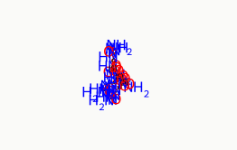 NC(=O)CC[C@H](NC(=O)c1ccc(NCc2cnc3[nH]c(N)nc(=O)c3n2)cc1)C(=O)OC(=O)CC[C@H](NC(=O)c1ccc(NCc2cnc3[nH]c(N)nc(=O)c3n2)cc1)C(=O)OC(=O)[C@H](CCC(N)=O)NC(=O)c1ccc(NCc2cnc3[nH]c(N)nc(=O)c3n2)cc1